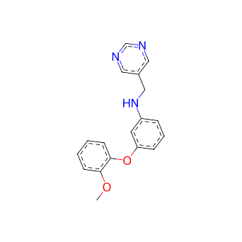 COc1ccccc1Oc1cccc(NCc2cncnc2)c1